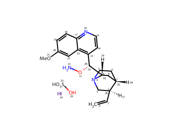 C=C[C@H]1CN2CC[C@H]1C[C@H]2[C@H](ON)c1ccnc2ccc(OC)cc12.I.O=S(=O)(O)O